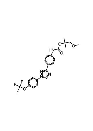 COCC(C)(C)OC(=O)Nc1ccc(-c2ncn(-c3ccc(OC(F)(F)F)cc3)n2)cc1